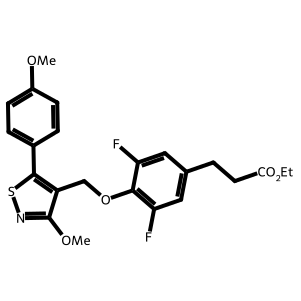 CCOC(=O)CCc1cc(F)c(OCc2c(OC)nsc2-c2ccc(OC)cc2)c(F)c1